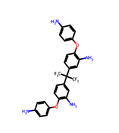 Nc1ccc(Oc2ccc(C(c3ccc(Oc4ccc(N)cc4)c(N)c3)(C(F)(F)F)C(F)(F)F)cc2N)cc1